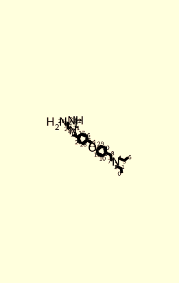 CCCN(CCC)CCc1ccc(OCc2ccc(CN(CI)CC(=N)N)cc2)cc1